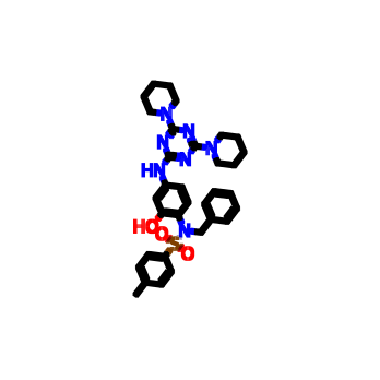 Cc1ccc(S(=O)(=O)N(Cc2ccccc2)c2ccc(Nc3nc(N4CCCCC4)nc(N4CCCCC4)n3)cc2O)cc1